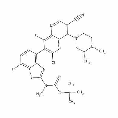 C[C@@H]1CN(c2c(C#N)cnc3c(F)c(-c4ccc(F)c5sc(N(C)C(=O)OC(C)(C)C)nc45)c(Cl)cc23)CCN1C